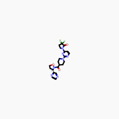 O=C(C1CCN(c2nccc(N3CCC(F)(F)C3=O)n2)CC1)N1OCC[C@H]1c1cnccn1